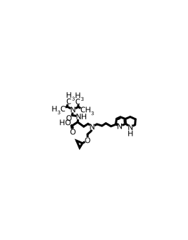 CC(C)N(C(=O)NC(CCN(CCCCc1ccc2c(n1)NCCC2)CCOC1CC1)C(=O)O)C(C)C